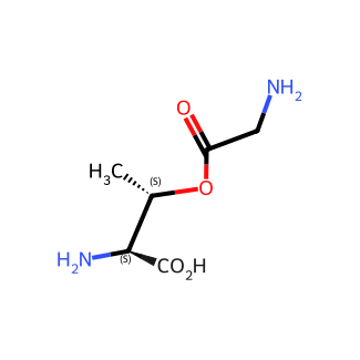 C[C@H](OC(=O)CN)[C@H](N)C(=O)O